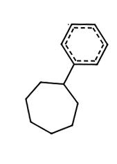 [c]1cccc(C2CCCCCC2)c1